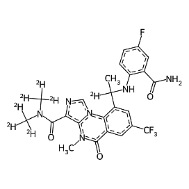 [2H]C(C)(Nc1ccc(F)cc1C(N)=O)c1cc(C(F)(F)F)cc2c(=O)n(C)c3c(C(=O)N(C([2H])([2H])[2H])C([2H])([2H])[2H])ncn3c12